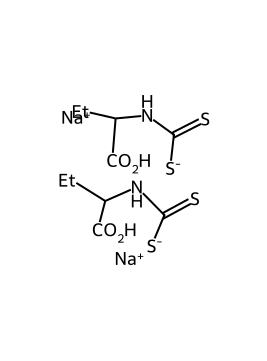 CCC(NC(=S)[S-])C(=O)O.CCC(NC(=S)[S-])C(=O)O.[Na+].[Na+]